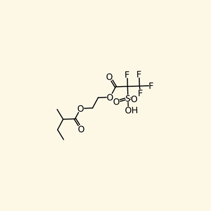 CCC(C)C(=O)OCCOC(=O)C(F)(C(F)(F)F)S(=O)(=O)O